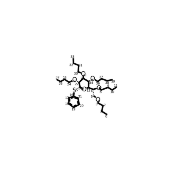 CCCCOC[C@@H](OCCCC)C1O[C@H](Sc2ccccc2)[C@H](OCCCC)C(OCCCC)[C@@H]1OCCCC